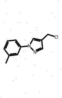 Cc1cccc(-n2cc(CCl)cn2)c1